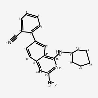 N#Cc1ccccc1-c1ccc2nc(N)nc(NC3CCCCC3)c2c1